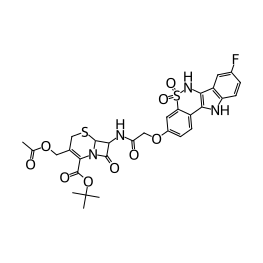 CC(=O)OCC1=C(C(=O)OC(C)(C)C)N2C(=O)C(NC(=O)COc3ccc4c(c3)S(=O)(=O)Nc3c-4[nH]c4ccc(F)cc34)C2SC1